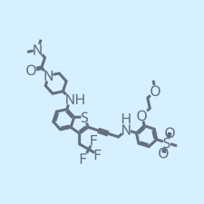 COCCOc1cc(S(C)(=O)=O)ccc1NCC#Cc1sc2c(NC3CCN(C(=O)CN(C)C)CC3)cccc2c1CC(F)(F)F